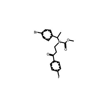 COC(=O)N(CCC(=O)c1ccc(F)cc1)C(C)c1ccc(Br)cc1